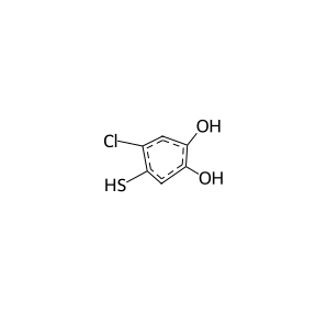 Oc1cc(S)c(Cl)cc1O